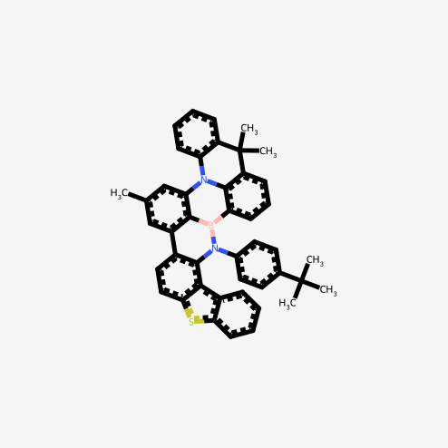 Cc1cc2c3c(c1)N1c4ccccc4C(C)(C)c4cccc(c41)B3N(c1ccc(C(C)(C)C)cc1)c1c-2ccc2sc3ccccc3c12